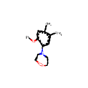 CCOc1cc(C)c(C)cc1N1CCOCC1